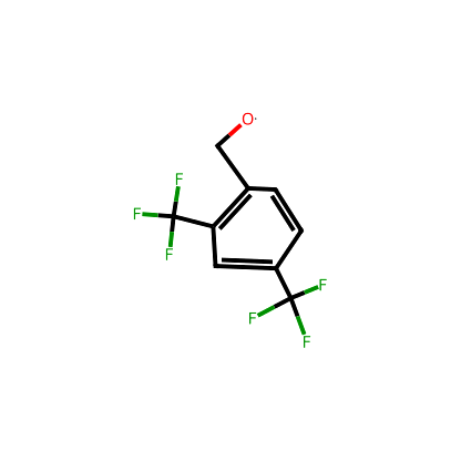 [O]Cc1ccc(C(F)(F)F)cc1C(F)(F)F